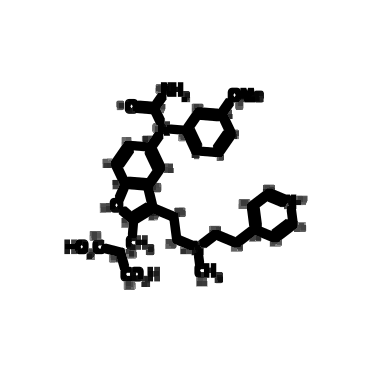 COc1cccc(N(C(N)=O)c2ccc3oc(C)c(CCN(C)CCc4ccncc4)c3c2)c1.O=C(O)CC(=O)O